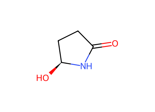 O=C1CC[C@H](O)N1